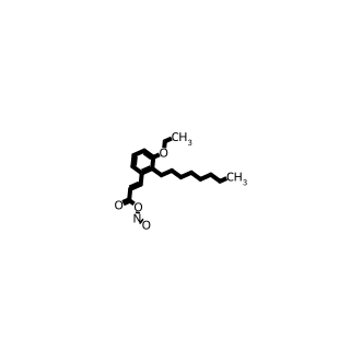 CCCCCCCCc1c(/C=C/C(=O)ON=O)cccc1OCC